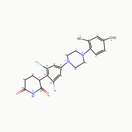 N#Cc1cc(C=O)ccc1N1CCN(c2cc(F)c(C3CCC(=O)NC3=O)c(F)c2)CC1